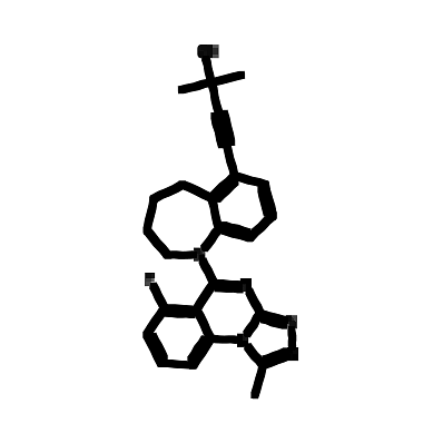 Cc1nnc2nc(N3CCCCc4c(C#CC(C)(C)O)cccc43)c3c(F)cccc3n12